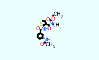 CCOC(=O)N(C)C(=O)c1ccsc1NC(=O)c1cccc(NC(C)=O)c1